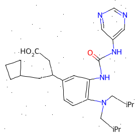 CC(C)CN(CC(C)C)c1ccc(C(CC(=O)O)CC2CCC2)cc1NC(=O)Nc1cncnc1